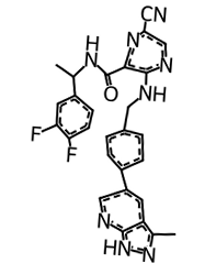 Cc1n[nH]c2ncc(-c3ccc(CNc4ncc(C#N)nc4C(=O)NC(C)c4ccc(F)c(F)c4)cc3)cc12